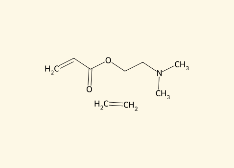 C=C.C=CC(=O)OCCN(C)C